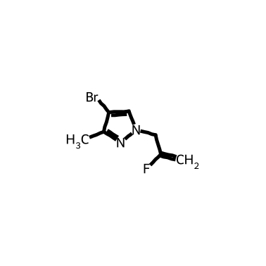 C=C(F)Cn1cc(Br)c(C)n1